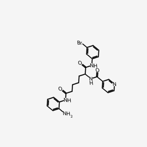 Nc1ccccc1NC(=O)CCCCC(NC(=O)c1cccnc1)C(=O)Nc1cccc(Br)c1